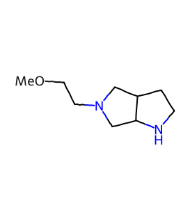 COCCN1CC2CCNC2C1